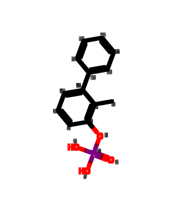 Cc1c(OP(=O)(O)O)cccc1-c1ccccc1